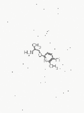 Cc1nc(OC[C@H](C)N)ccc1Cl